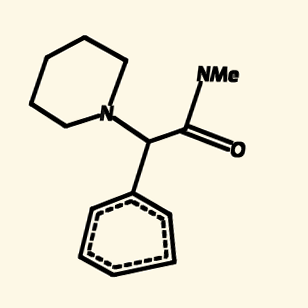 CNC(=O)C(c1ccccc1)N1CCCCC1